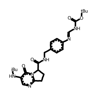 CCC(C)Nc1cnc2n(c1=O)C(C(=O)NCc1ccc(/N=C/NC(=O)OC(C)(C)C)cc1)CC2